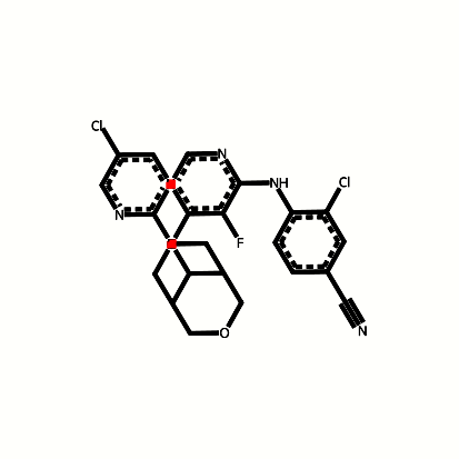 N#Cc1ccc(Nc2ncnc(OC3C4COCC3CN(c3ncc(Cl)cn3)C4)c2F)c(Cl)c1